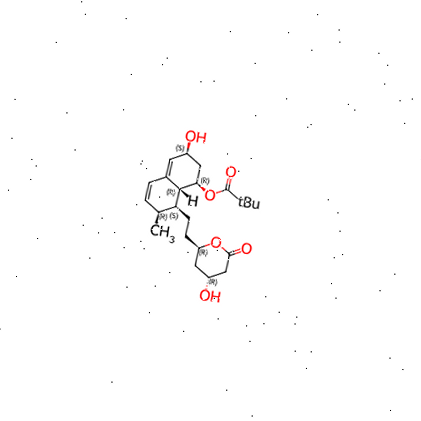 C[C@H]1C=CC2=C[C@@H](O)C[C@@H](OC(=O)C(C)(C)C)[C@@H]2[C@H]1CC[C@@H]1C[C@@H](O)CC(=O)O1